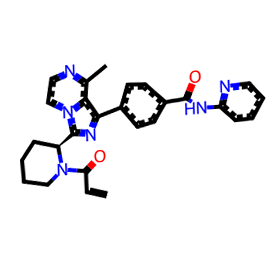 C=CC(=O)N1CCCC[C@H]1c1nc(-c2ccc(C(=O)Nc3ccccn3)cc2)c2c(C)nccn12